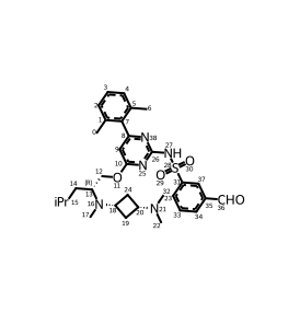 Cc1cccc(C)c1-c1cc(OC[C@@H](CC(C)C)N(C)[C@H]2C[C@@H](N(C)C)C2)nc(NS(=O)(=O)c2cccc(C=O)c2)n1